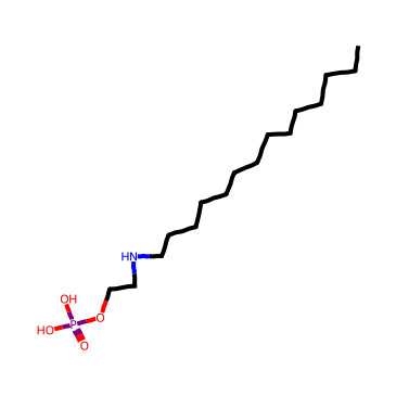 CCCCCCCCCCCCCCNCCOP(=O)(O)O